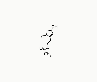 CC(=O)OCCC1=C[C@@H](O)CC1=O